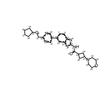 O=C(Nc1nc2ccc(-c3cnc(COC4CCCC4)nc3)cc2s1)C1CC(N2CCOCC2)C1